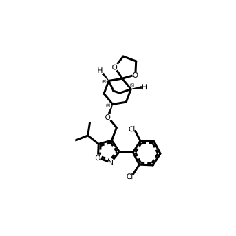 CC(C)c1onc(-c2c(Cl)cccc2Cl)c1CO[C@H]1C[C@H]2CC[C@@H](C1)C21OCCO1